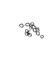 CN1/C(=C/c2oc3ccc(-c4ccccc4)cc3[n+]2CCCS(=O)(=O)[O-])Oc2ccc(-c3ccccc3)cc21